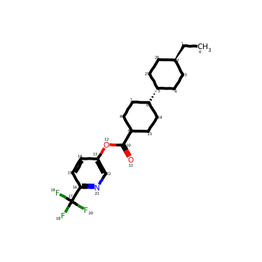 CC[C@H]1CC[C@H](C2CCC(C(=O)Oc3ccc(C(F)(F)F)nc3)CC2)CC1